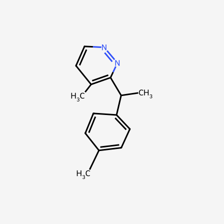 Cc1ccc(C(C)c2nnccc2C)cc1